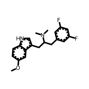 COc1ccc2[nH]cc(CC(Cc3cc(F)cc(F)c3)N(C)C)c2c1